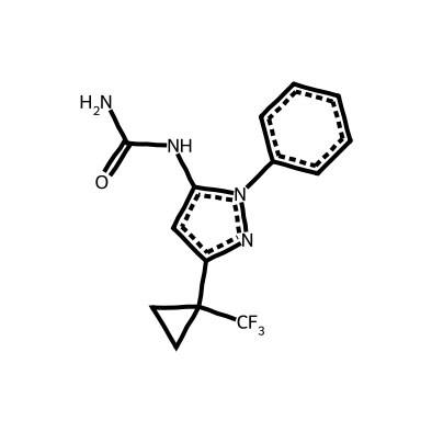 NC(=O)Nc1cc(C2(C(F)(F)F)CC2)nn1-c1ccccc1